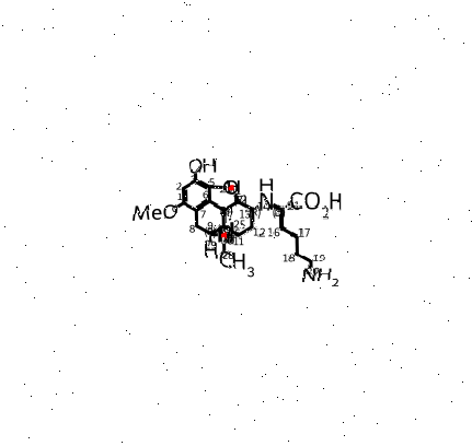 COc1cc(O)c2c3c1C[C@@H]1[C@@H]4CC[C@@H](N[C@@H](CCCCN)C(=O)O)[C@H](O2)[C@]34CCN1C